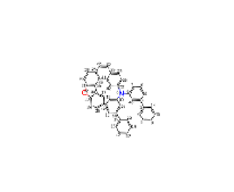 c1ccc(-c2cccc(N(c3cccc(-c4ccccc4)c3)c3ccc4ccc5ccc6oc7ccccc7c6c5c4c3)c2)cc1